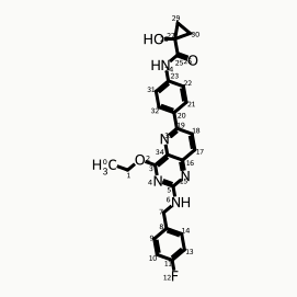 CCOc1nc(NCc2ccc(F)cc2)nc2ccc(-c3ccc(NC(=O)C4(O)CC4)cc3)nc12